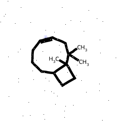 CC1(C)C/C=C\CCCC2CCC21C